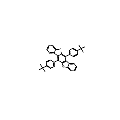 CC(C)(C)c1ccc(-c2c3sc4ccccc4c3c(-c3ccc(C(C)(C)C)cc3)c3sc4ccccc4c23)cc1